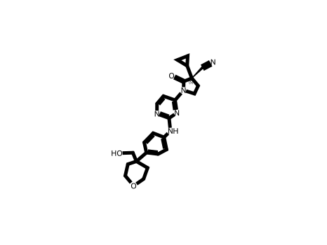 N#C[C@@]1(C2CC2)CCN(c2ccnc(Nc3ccc(C4(CO)CCOCC4)cc3)n2)C1=O